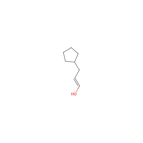 OC=CCC1CCCC1